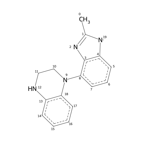 CC1=Nc2c(cccc2N2CCNc3ccccc32)[N]1